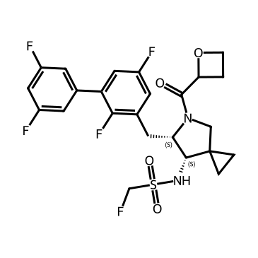 O=C(C1CCO1)N1CC2(CC2)[C@H](NS(=O)(=O)CF)[C@@H]1Cc1cc(F)cc(-c2cc(F)cc(F)c2)c1F